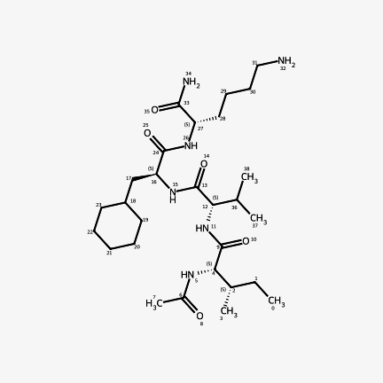 CC[C@H](C)[C@H](NC(C)=O)C(=O)N[C@H](C(=O)N[C@@H](CC1CCCCC1)C(=O)N[C@@H](CCCCN)C(N)=O)C(C)C